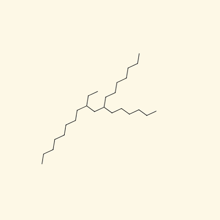 CCCCCCCCC(CC)CC(CCCCCC)CCCCCCC